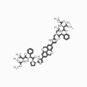 CCCN(Cc1ncc(-c2cc3c4c(c2)OCc2cc(-c5cnc([C@@H]6CCCN6C(=O)[C@H](NC(=O)[C@@H](NC(=O)OC)C(C)C)c6ccccc6)[nH]5)cc(c2-4)OC3)[nH]1)C(=O)[C@H](NC(=O)[C@@H](NC(=O)OC)C(C)C)c1ccccc1